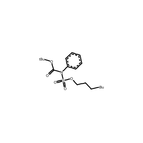 CCC(C)CCCOS(=O)(=O)N(C(=O)OC(C)(C)C)c1ccccc1